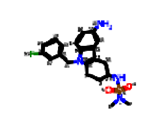 CN(C)S(=O)(=O)NC1CCc2c(c3cc(N)ccc3n2Cc2cccc(F)c2)C1